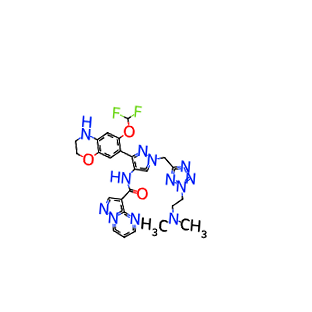 CN(C)CCn1nnc(Cn2cc(NC(=O)c3cnn4cccnc34)c(-c3cc4c(cc3OC(F)F)NCCO4)n2)n1